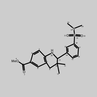 COC(=O)c1ccc2c(c1)CC(C)(C)C(c1cccc(S(=O)(=O)N(C)C)c1)N2